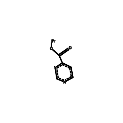 CC(C)OC(=O)c1ccncn1